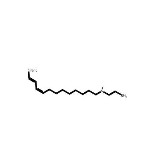 BCCNCCCCCCCC/C=C\C=C\CCCCC